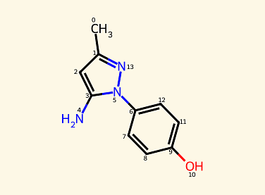 Cc1cc(N)n(-c2ccc(O)cc2)n1